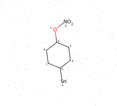 O=[N+]([O-])OC1CC[CH]([Sn])CC1